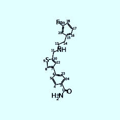 NC(=O)c1ccc(-c2csc(CNCCc3cccc(F)c3)c2)cc1